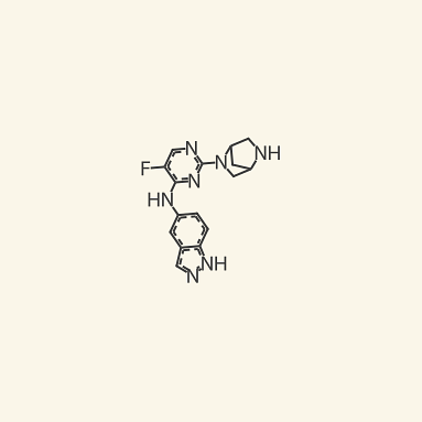 Fc1cnc(N2CC3CC2CN3)nc1Nc1ccc2[nH]ncc2c1